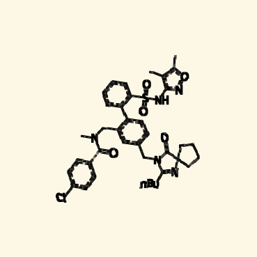 CCCCC1=NC2(CCCC2)C(=O)N1Cc1ccc(-c2ccccc2S(=O)(=O)Nc2noc(C)c2C)c(CN(C)C(=O)c2ccc(Cl)cc2)c1